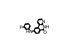 O=c1[nH]c2ncccc2c2cc(Nc3cccc(F)c3)ccc12